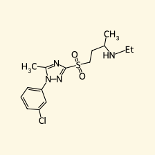 CCNC(C)CCS(=O)(=O)c1nc(C)n(-c2cccc(Cl)c2)n1